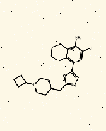 Nc1c(Cl)cc(-c2nnc(CC3CCN(C4CCC4)CC3)o2)c2c1CCCO2